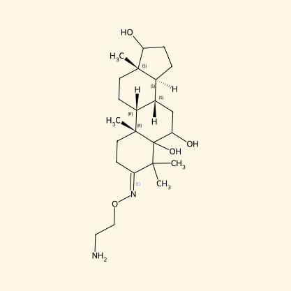 CC1(C)/C(=N/OCCN)CC[C@]2(C)[C@@H]3CC[C@]4(C)C(O)CC[C@H]4[C@@H]3CC(O)C12O